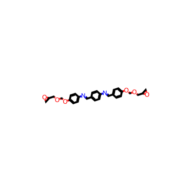 C(=N\c1ccc(/C=N/c2ccc(OCOCC3CO3)cc2)cc1)/c1ccc(OCOCC2CO2)cc1